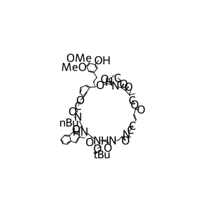 CCCC[C@H]1C(=O)N[C@@H](Cc2ccc3ccccc3c2)C(=O)N(C)[C@@H](COC(C)(C)C)C(=O)NCC(=O)N(C)CC/C=C/C(=O)OCC(C)(C)C(=O)C(=O)N2CCCC[C@H]2C(=O)O[C@H](CCc2cc(O)c(OC)c(OC)c2)c2cccc(c2)OCC(=O)N1C